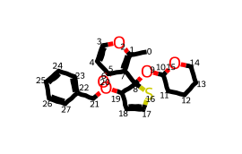 Cc1occc(=O)c1C1(OC2CCCCO2)SC=CC1OCc1ccccc1